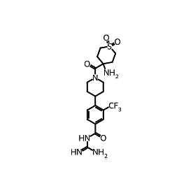 N=C(N)NC(=O)c1ccc(C2CCN(C(=O)C3(N)CCS(=O)(=O)CC3)CC2)c(C(F)(F)F)c1